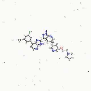 Cc1cc(F)cc(-c2ccnc3[nH]c(-c4n[nH]c5ncc(-c6cncc(OCCN7CCCC7)c6)cc45)nc23)c1